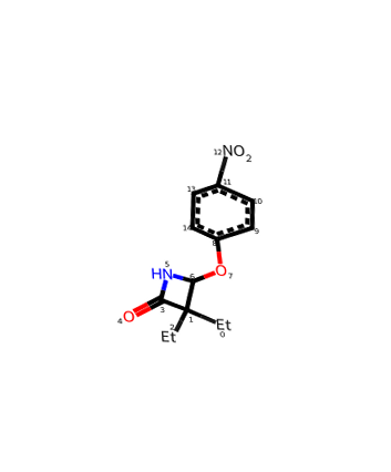 CCC1(CC)C(=O)NC1Oc1ccc([N+](=O)[O-])cc1